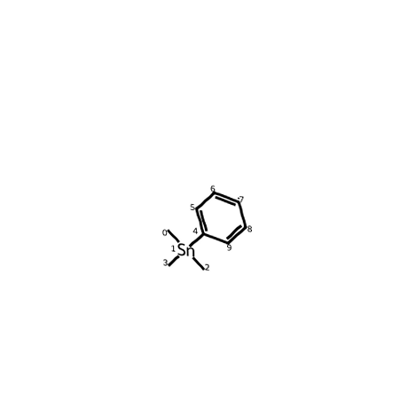 [CH3][Sn]([CH3])([CH3])[c]1cc[c]cc1